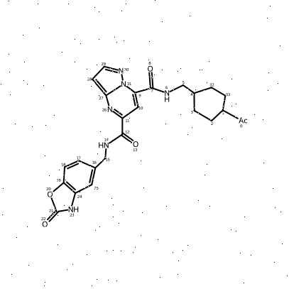 CC(=O)C1CCC(CNC(=O)c2cc(C(=O)NCc3ccc4oc(=O)[nH]c4c3)nc3ccnn23)CC1